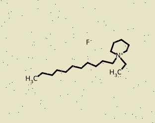 CCCCCCCCCCC[N+]1(CC)CCCCC1.[F-]